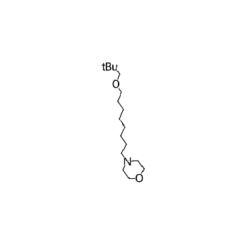 CC(C)(C)COCCCCCCCCN1CCOCC1